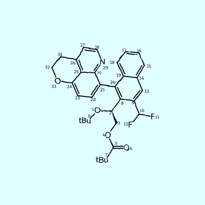 CC(C)(C)O[C@H](COC(=O)C(C)(C)C)c1c(C(F)F)cc2ccccc2c1-c1ccc2c3c(ccnc13)CCO2